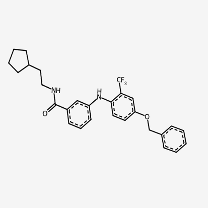 O=C(NCCC1CCCC1)c1cccc(Nc2ccc(OCc3ccccc3)cc2C(F)(F)F)c1